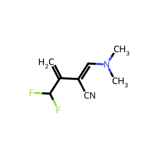 C=C(/C(C#N)=C/N(C)C)C(F)F